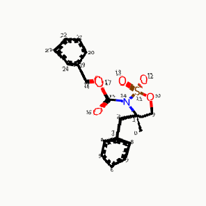 C[C@]1(Cc2ccccc2)COS(=O)(=O)N1C(=O)OCc1ccccc1